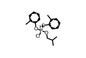 Cc1ccccc1O[PH](Cl)(OCC(C)C)Oc1ccccc1C